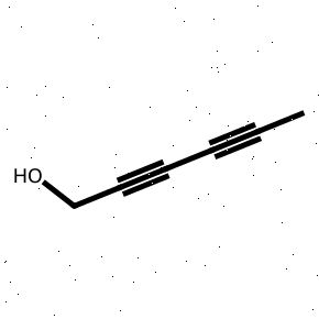 CC#CC#CCO